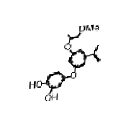 C=C(C)c1cc(Oc2ccc(O)c(O)c2)cc(OC(C)COC)c1